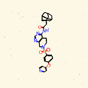 O=C(CC12CC3CC(CC(C3)C1)C2)Nc1ncnc2c1CCN(S(=O)(=O)c1ccc(Oc3ccncc3)cc1)C2